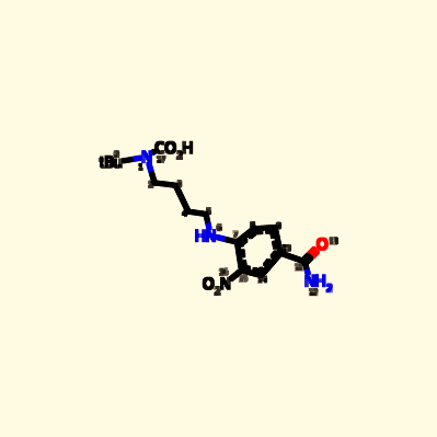 CC(C)(C)N(CCCCNc1ccc(C(N)=O)cc1[N+](=O)[O-])C(=O)O